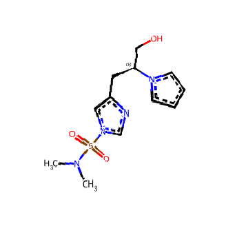 CN(C)S(=O)(=O)n1cnc(C[C@@H](CO)n2cccc2)c1